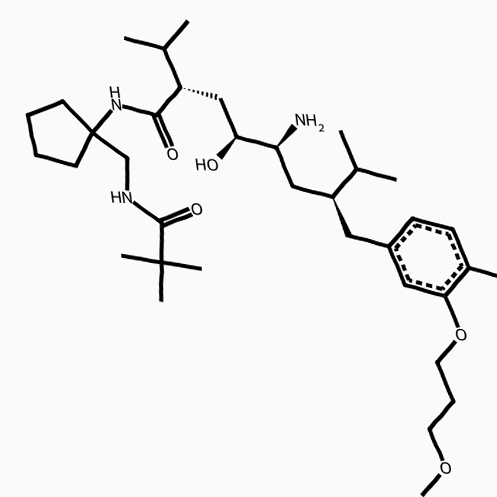 COCCCOc1cc(C[C@@H](C[C@H](N)[C@@H](O)C[C@H](C(=O)NC2(CNC(=O)C(C)(C)C)CCCC2)C(C)C)C(C)C)ccc1OC